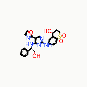 O=S1(=O)CCC(O)c2cc(Nc3ncc(-c4ncco4)c(N[C@H](CO)c4ccccc4)n3)ccc21